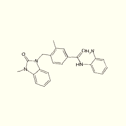 Cc1cc(C(=O)Nc2ccccc2N)ccc1Cn1c(=O)n(C)c2ccccc21